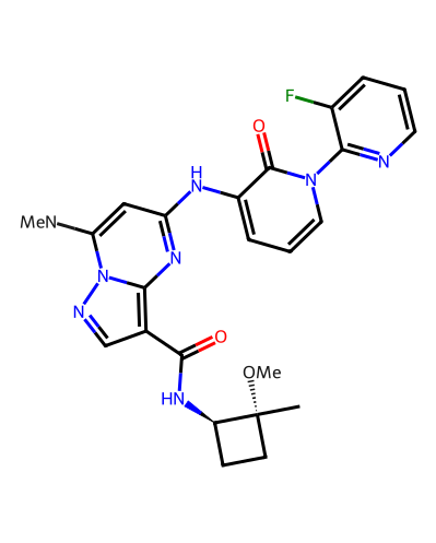 CNc1cc(Nc2cccn(-c3ncccc3F)c2=O)nc2c(C(=O)N[C@@H]3CC[C@@]3(C)OC)cnn12